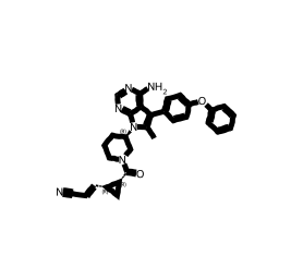 Cc1c(-c2ccc(Oc3ccccc3)cc2)c2c(N)ncnc2n1[C@@H]1CCCN(C(=O)[C@@H]2C[C@@H]2C=CC#N)C1